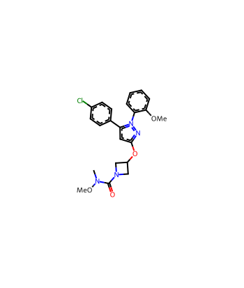 COc1ccccc1-n1nc(OC2CN(C(=O)N(C)OC)C2)cc1-c1ccc(Cl)cc1